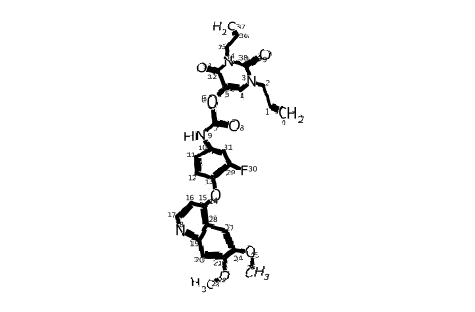 C=CCn1cc(OC(=O)Nc2ccc(Oc3ccnc4cc(OC)c(OC)cc34)c(F)c2)c(=O)n(CC=C)c1=O